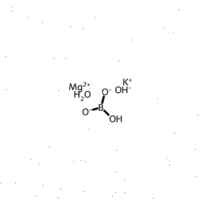 O.[K+].[Mg+2].[O-]B([O-])O.[OH-]